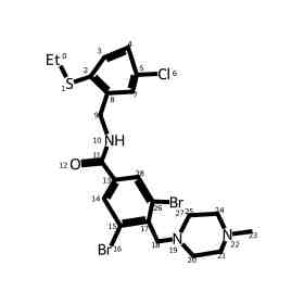 CCSc1ccc(Cl)cc1CNC(=O)c1cc(Br)c(CN2CCN(C)CC2)c(Br)c1